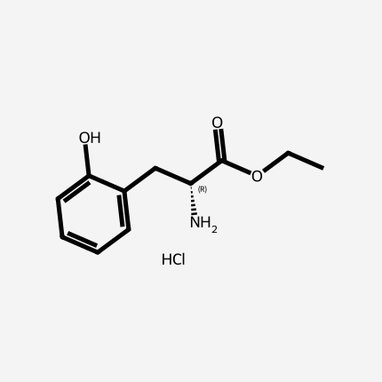 CCOC(=O)[C@H](N)Cc1ccccc1O.Cl